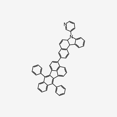 C1=CC2C(c3ccc(-c4ccc5c6c(cccc46)-c4c-5c(-c5ccccc5)c5ccccc5c4-c4ccccc4)cc31)c1ccccc1N2c1cccnc1